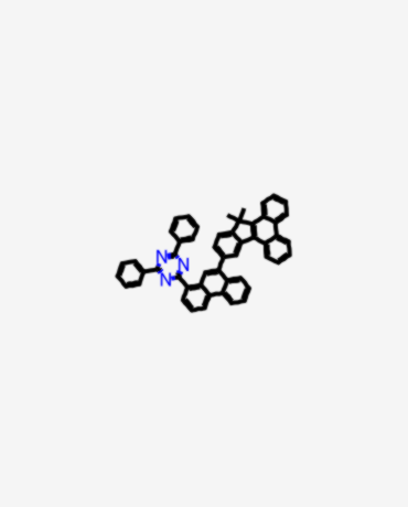 CC1(C)c2ccc(-c3cc4c(-c5nc(-c6ccccc6)nc(-c6ccccc6)n5)cccc4c4ccccc34)cc2-c2c1c1ccccc1c1ccccc21